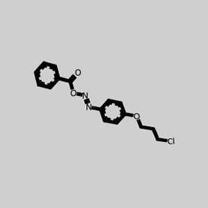 O=C(ON=Nc1ccc(OCCCCl)cc1)c1ccccc1